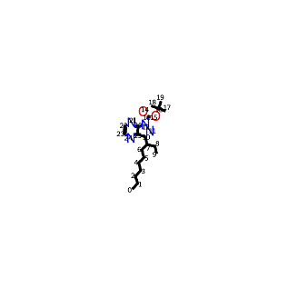 CCCCCCCC(CC)c1nn(C(=O)OC(C)(C)C)c2nccnc12